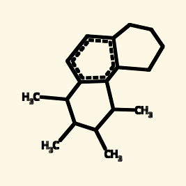 CC1c2ccc3c(c2C(C)C(C)C1C)CCCC3